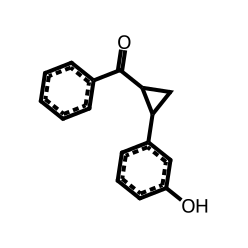 O=C(c1ccccc1)C1CC1c1cccc(O)c1